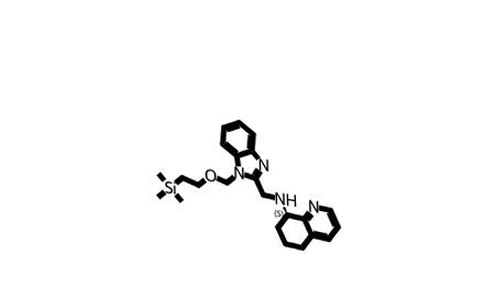 C[Si](C)(C)CCOCn1c(CN[C@H]2CCCc3cccnc32)nc2ccccc21